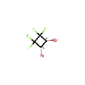 FC1(F)[C@@H](Br)[C@H](Br)C1(F)F